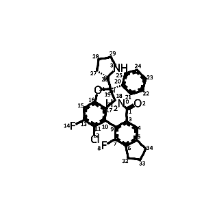 NC(=O)c1cc2c(c(F)c1-c1c(Cl)c(F)cc3c1C[C@](c1ccccc1)([C@@H]1CCCN1)O3)CCC2